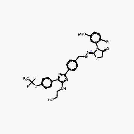 COc1ccc(C(C)C)c(N2C(=O)CS/C2=N\NCc2ccc(-c3nc(NCCO)n(-c4ccc(OC(F)(F)C(F)(F)F)cc4)n3)cc2)c1